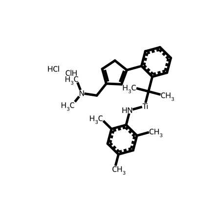 Cc1cc(C)c([NH][Ti][C](C)(C)c2ccccc2C2=CC(CN(C)C)=CC2)c(C)c1.Cl.Cl